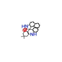 CC1(C)CC(=O)C2=C(C1)Nc1ccccc1C21C(=O)Nc2ccc3ccccc3c21